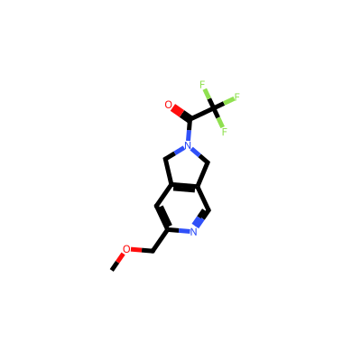 COCc1cc2c(cn1)CN(C(=O)C(F)(F)F)C2